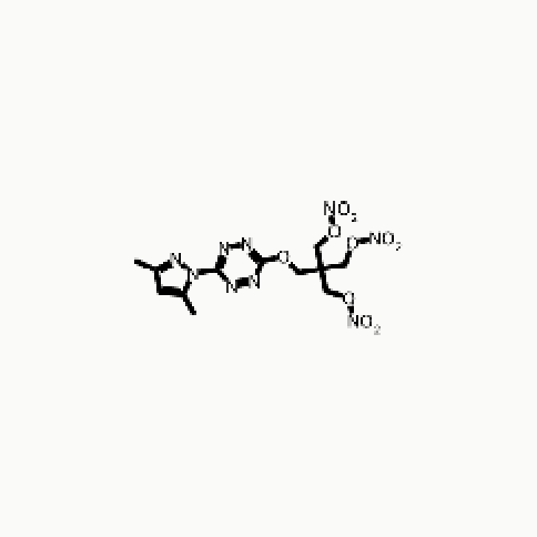 Cc1cc(C)n(-c2nnc(OCC(CO[N+](=O)[O-])(CO[N+](=O)[O-])CO[N+](=O)[O-])nn2)n1